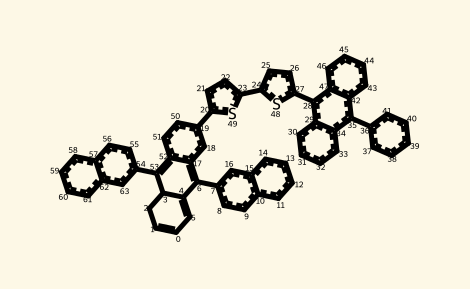 C1=CCC2C(=C1)C(c1ccc3ccccc3c1)=c1cc(-c3ccc(-c4ccc(-c5c6ccccc6c(-c6ccccc6)c6ccccc56)s4)s3)ccc1=C2c1ccc2ccccc2c1